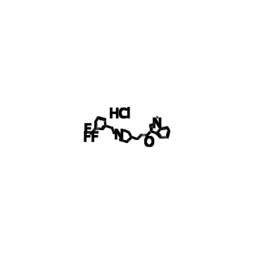 Cl.Cn1cc(C(=O)CCC2CCN(CCc3cccc(C(F)(F)F)c3)CC2)c2ccccc21